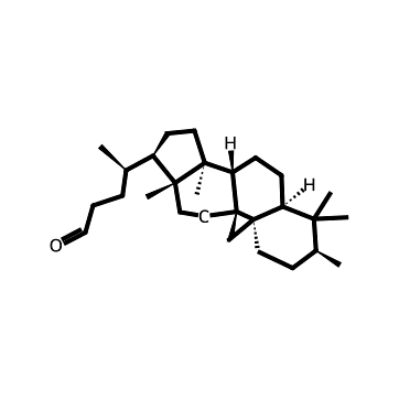 C[C@H](CCC=O)[C@H]1CC[C@@]2(C)[C@@H]3CC[C@H]4C(C)(C)[C@@H](C)CC[C@@]45C[C@@]35CC[C@]12C